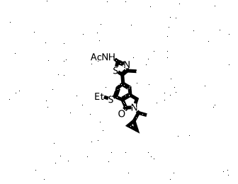 CCSc1cc(-c2sc(NC(C)=O)nc2C)cc2c1C(=O)N(C(C)C1CC1)C2